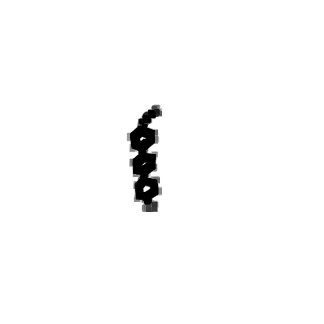 CCC1CCC(c2ccc(-c3ccc(N=C=S)cc3)cc2)CC1